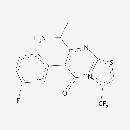 CC(N)c1nc2scc(C(F)(F)F)n2c(=O)c1-c1cccc(F)c1